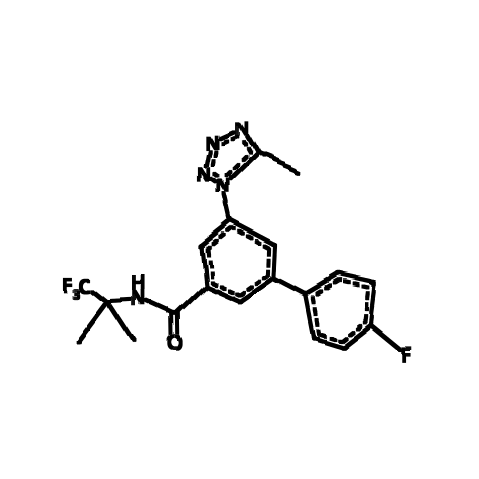 Cc1nnnn1-c1cc(C(=O)NC(C)(C)C(F)(F)F)cc(-c2ccc(F)cc2)c1